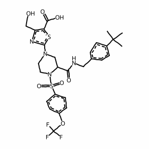 CC(C)(C)c1ccc(CNC(=O)C2CN(c3nc(CO)c(C(=O)O)s3)CCN2S(=O)(=O)c2ccc(OC(F)(F)F)cc2)cc1